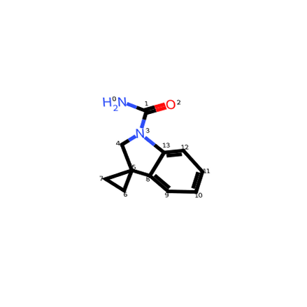 NC(=O)N1CC2(CC2)c2ccccc21